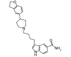 NC(=O)c1ccc2[nH]cc(CCCCN3CCC(c4ccc5c(c4)CCO5)CC3)c2c1